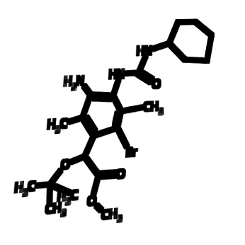 COC(=O)C(OC(C)(C)C)c1c(C)c(N)c(NC(=O)NC2CCCCC2)c(C)c1Br